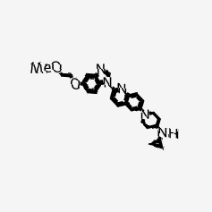 COCCOc1ccc2c(c1)ncn2-c1ccc2cc(N3CCC(NC4CC4)CC3)ccc2n1